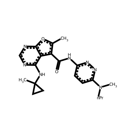 CCCN(C)c1ccc(NC(=O)c2c(C)oc3ncnc(NC4(C)CC4)c23)nn1